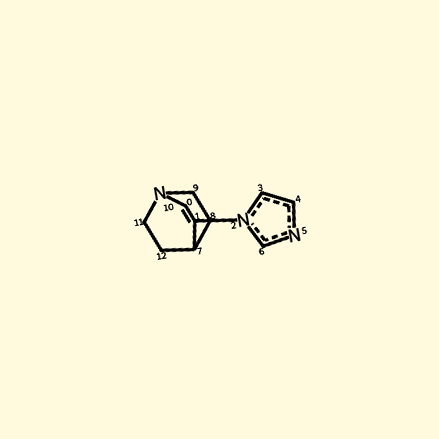 C1=C(n2ccnc2)C2CCN1CC2